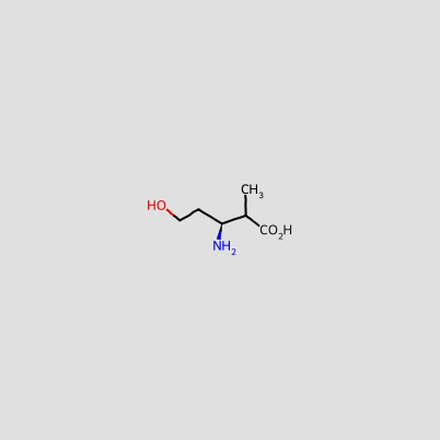 CC(C(=O)O)[C@@H](N)CCO